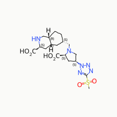 CS(=O)(=O)c1nnn([C@H]2C[C@@H](C(=O)O)N(C[C@H]3CC[C@H]4CN[C@H](C(=O)O)C[C@H]4C3)C2)n1